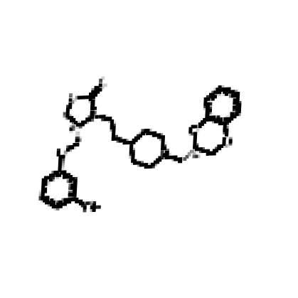 O=C1OC[C@@H](COc2cccc(O)c2)N1CCC1CCN(C[C@H]2COc3ccccc3O2)CC1